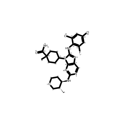 C[C@@H]1COCC[C@H]1Nc1ncc2nc(Nc3c(F)cc(Cl)cc3Cl)n(C3CCC(C)(C(N)=O)CC3)c2n1